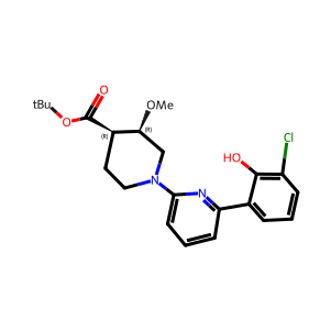 CO[C@H]1CN(c2cccc(-c3cccc(Cl)c3O)n2)CC[C@H]1C(=O)OC(C)(C)C